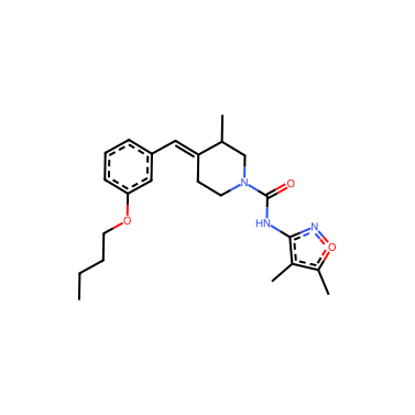 CCCCOc1cccc(C=C2CCN(C(=O)Nc3noc(C)c3C)CC2C)c1